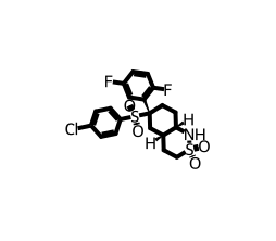 O=S1(=O)CC[C@@H]2C[C@](c3cc(F)ccc3F)(S(=O)(=O)c3ccc(Cl)cc3)CC[C@@H]2N1